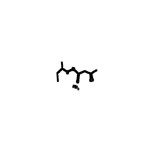 CCC(C)OOC(=O)CC(C)=O.[AlH3]